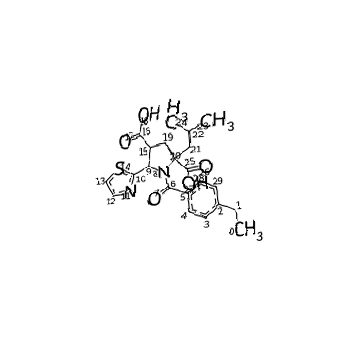 CCc1ccc(C(=O)N2C(c3nccs3)C(C(=O)O)CC2(CC(C)C)C(=O)O)cc1